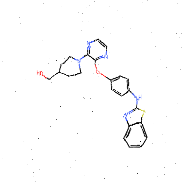 OCC1CCN(c2nccnc2Oc2ccc(Nc3nc4ccccc4s3)cc2)CC1